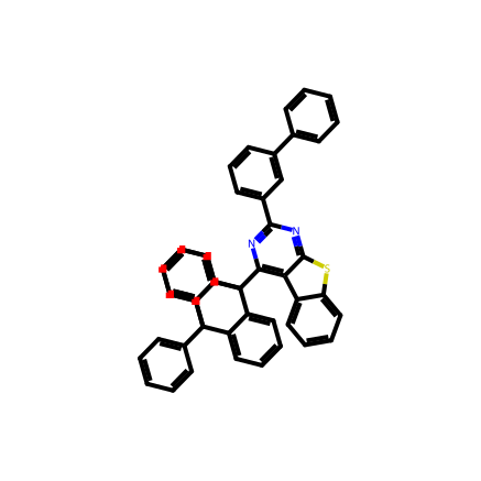 c1ccc(-c2cccc(-c3nc(C45c6ccccc6C(c6ccccc6)(c6ccccc64)c4ccccc45)c4c(n3)sc3ccccc34)c2)cc1